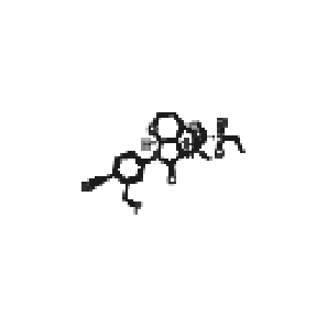 CCS(=O)(=O)[C@H]1C[C@@]23CCO[C@H]4[C@@H]2[C@H](C(=O)N4c2ccc(C#N)c(CF)c2)[C@]1(C)O3